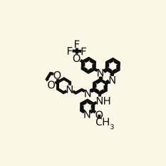 COc1ncccc1Nc1cc2nc3ccccc3n(-c3ccc(OC(F)(F)F)cc3)c-2cc1=NCCN1CCC2(CC1)OCCO2